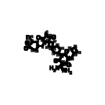 CC[C@H]1C[C@@H](CN2C(=O)N(C)C(=O)C23CC2(CCC(N4C(=O)C(=C(N)N)C(=O)N(CC5CCC5)C4=O)CC2)C3)CCS1(=O)=O